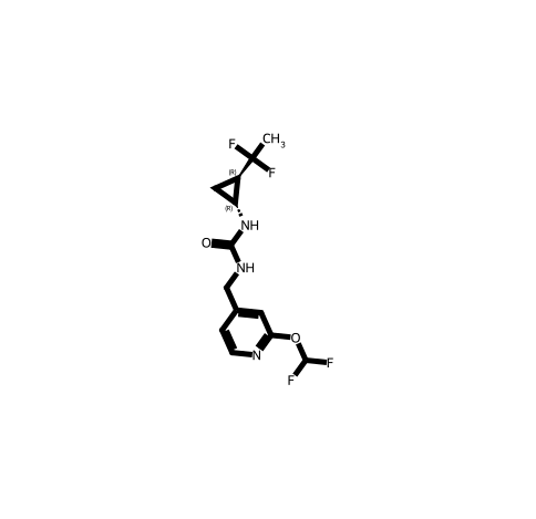 CC(F)(F)[C@@H]1C[C@H]1NC(=O)NCc1ccnc(OC(F)F)c1